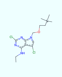 CCNc1nc(Cl)nc2c1c(Cl)cn2COCC[Si](C)(C)C